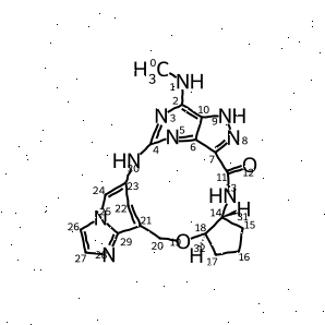 CNc1nc2nc3c(n[nH]c13)C(=O)N[C@@H]1CCC[C@H]1OCc1cc(cn3ccnc13)N2